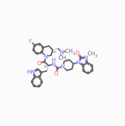 CN(C)C[C@H]1Cc2cc(F)ccc2N(C(=O)[C@@H](Cc2c[nH]c3ccccc23)NC(=O)N2CCC(n3c(=O)n(C)c4ccccc43)CC2)C1